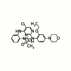 CCOc1cc(N2CCOCC2)ccc1Nc1ncc(Cl)c(Nc2ccccc2NS(C)(=O)=O)n1